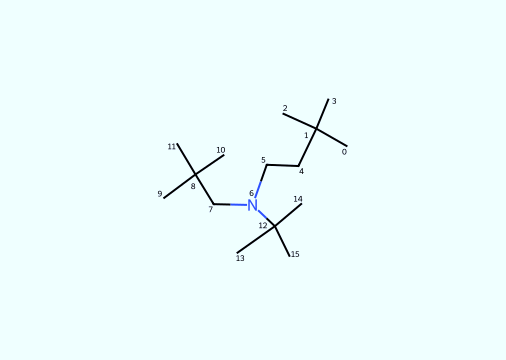 CC(C)(C)CCN(CC(C)(C)C)C(C)(C)C